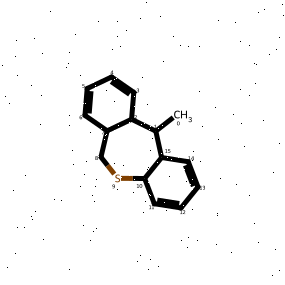 CC1C2C=CC=CC2CSC2C=CC=CC21